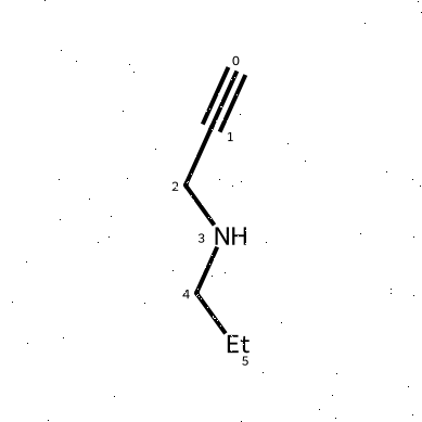 C#CCNCCC